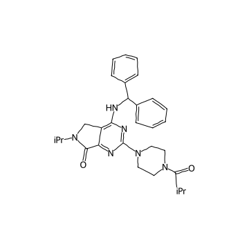 CC(C)C(=O)N1CCN(c2nc(NC(c3ccccc3)c3ccccc3)c3c(n2)C(=O)N(C(C)C)C3)CC1